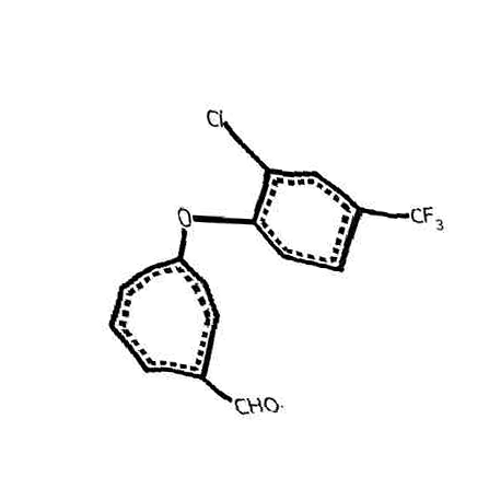 O=[C]c1cccc(Oc2ccc(C(F)(F)F)cc2Cl)c1